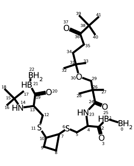 BBC(=O)C(CSC1CCC1SCC(NC(C)(C)C)C(=O)BB)NC(=O)C(C)(C)COC(C)(C)CCC(=O)C(C)(C)C